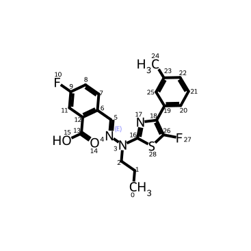 CCCN(/N=C/c1ccc(F)cc1C(=O)O)c1nc(-c2cccc(C)c2)c(F)s1